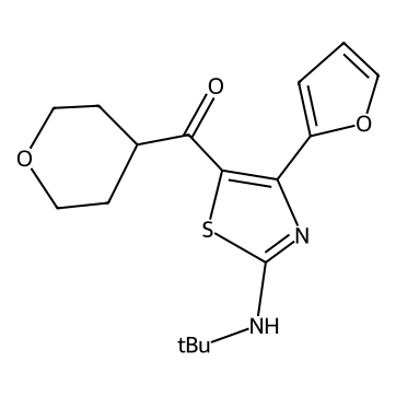 CC(C)(C)Nc1nc(-c2ccco2)c(C(=O)C2CCOCC2)s1